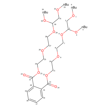 CCCCOCC(OCCCC)OCCOCCOC(=O)c1ccccc1C(=O)OCCOCCOC(COCCCC)OCCCC